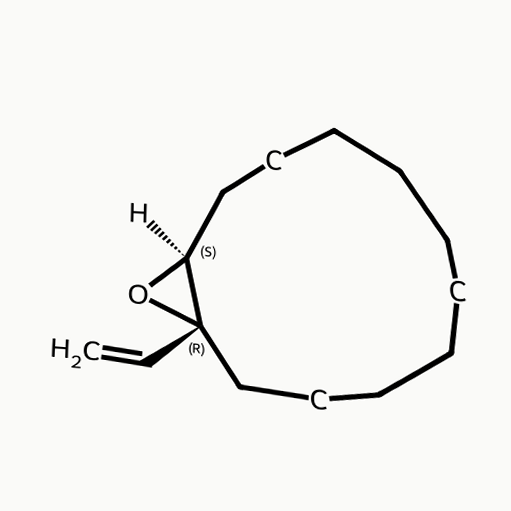 C=C[C@]12CCCCCCCCCC[C@@H]1O2